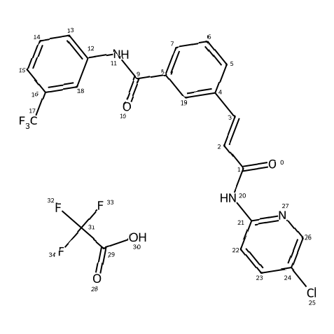 O=C(C=Cc1cccc(C(=O)Nc2cccc(C(F)(F)F)c2)c1)Nc1ccc(Cl)cn1.O=C(O)C(F)(F)F